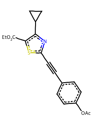 CCOC(=O)c1sc(C#Cc2ccc(OC(C)=O)cc2)nc1C1CC1